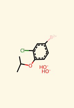 [B+2]c1ccc(OC(C)C)c(Cl)c1.[OH-].[OH-]